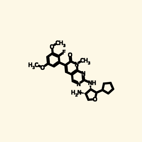 COc1cc(OC)c(F)c(-c2cc3cnc(N[C@@H]4C(C5CCCC5)OC[C@@H]4N)nc3n(C)c2=O)c1